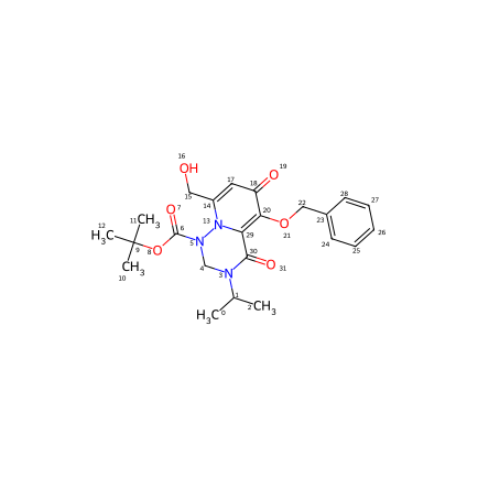 CC(C)N1CN(C(=O)OC(C)(C)C)n2c(CO)cc(=O)c(OCc3ccccc3)c2C1=O